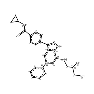 O=C(NC1CC1)c1ccc(-c2cnc3c(NC[C@@H](O)CO)nc(-c4ccccc4)cn23)cc1